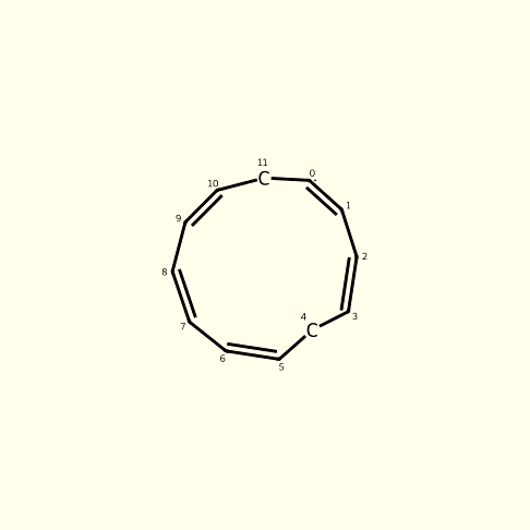 [C]1=CC=CCC=CC=CC=CC1